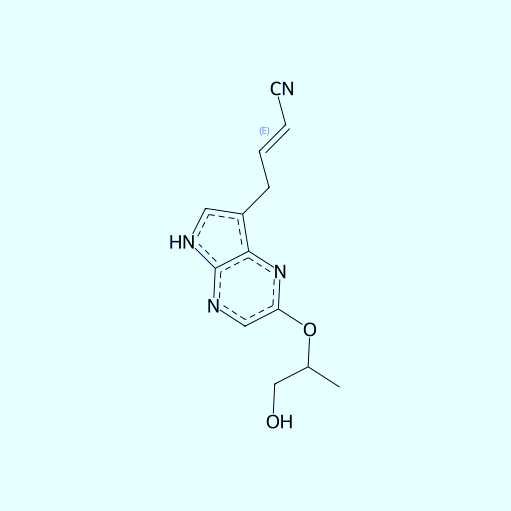 CC(CO)Oc1cnc2[nH]cc(C/C=C/C#N)c2n1